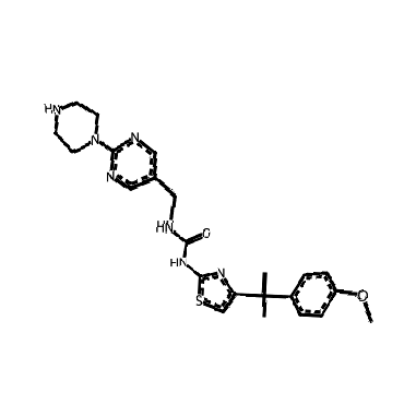 COc1ccc(C(C)(C)c2csc(NC(=O)NCc3cnc(N4CCNCC4)nc3)n2)cc1